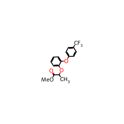 COC(=O)C(C)Oc1ccccc1Oc1ccc(C(F)(F)F)cc1